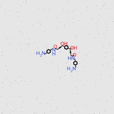 NCc1ccc(CNC(=O)CC#CC(O)c2ccc(C(O)C#CCC(=O)NCc3ccc(CN)cc3)cc2)cc1